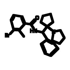 Cc1c(Br)cccc1C(=O)NC(c1ccccc1)C1(N2CCCC2)CCCC1